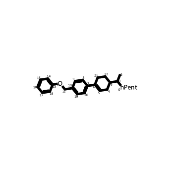 CCCCCC(C)C1CC=C(c2ccc(COc3ccccc3)cc2)CC1